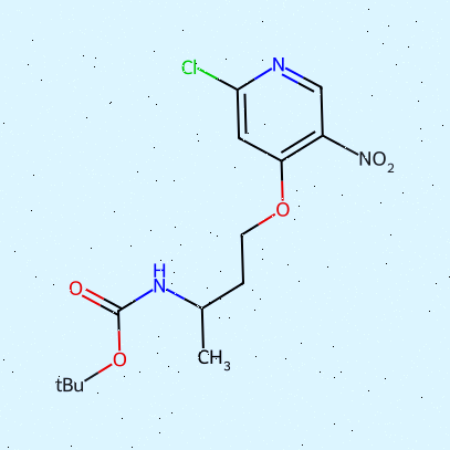 CC(CCOc1cc(Cl)ncc1[N+](=O)[O-])NC(=O)OC(C)(C)C